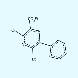 CCOC(=O)c1nc(-c2ccccc2)c(CC)nc1Cl